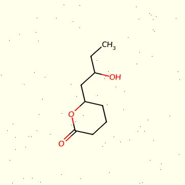 CCC(O)CC1CCCC(=O)O1